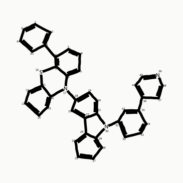 c1ccc(-c2cccc3c2Sc2ccccc2N3c2ccc3c(c2)c2ccccc2n3-c2cccc(-c3ccncc3)c2)cc1